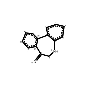 O=C1CNc2ccccc2-c2ccccc21